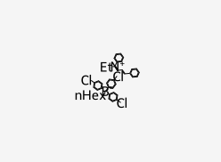 CCCCCC[B-](c1ccc(Cl)cc1)(c1ccc(Cl)cc1)c1ccc(Cl)cc1.CC[N+](=CC=Cc1ccccc1)c1ccccc1